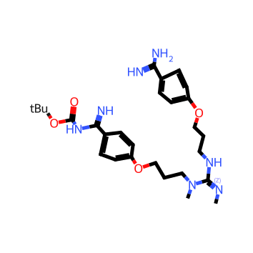 C/N=C(/NCCCOc1ccc(C(=N)N)cc1)N(C)CCCOc1ccc(C(=N)NC(=O)OC(C)(C)C)cc1